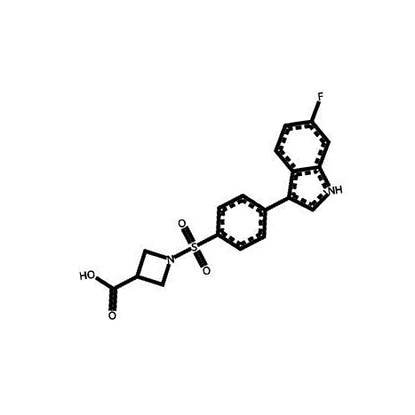 O=C(O)C1CN(S(=O)(=O)c2ccc(-c3c[nH]c4cc(F)ccc34)cc2)C1